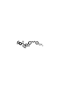 CN1CCN(CCCN2CC=C(C3Cc4c(Nc5ccc6ncsc6c5)ncnc4N3)CC2)CC1